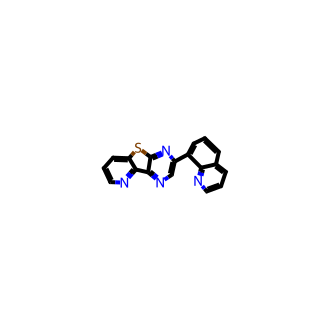 c1cnc2c(-c3cnc4c(n3)sc3cccnc34)cccc2c1